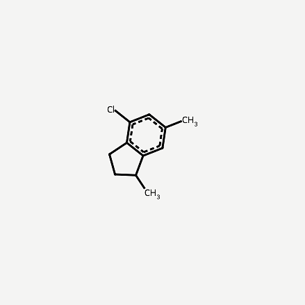 Cc1cc(Cl)c2c(c1)C(C)CC2